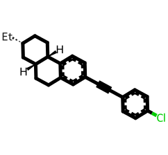 CC[C@@H]1CC[C@@H]2c3ccc(C#Cc4ccc(Cl)cc4)cc3CC[C@@H]2C1